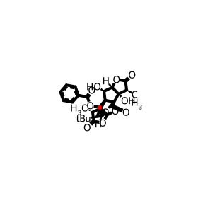 C[C@@H]1C(=O)O[C@H]2[C@H](O)C34C(OC(=O)c5ccccc5)[C@@H]5OC(=O)[C@@]3(OC3OC(=O)[C@H](C)C34[C@@H]5C(C)(C)C)[C@@]12O